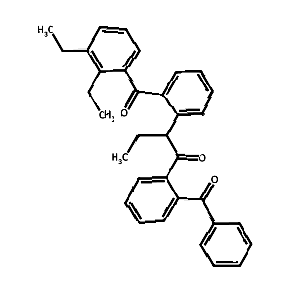 CCc1cccc(C(=O)c2ccccc2C(CC)C(=O)c2ccccc2C(=O)c2ccccc2)c1CC